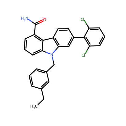 CCc1cccc(Cn2c3cc(-c4c(Cl)cccc4Cl)c[c]c3c3c(C(N)=O)cccc32)c1